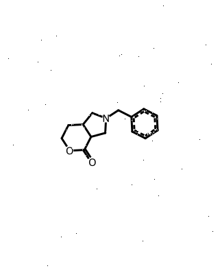 O=C1OCCC2CN(Cc3ccccc3)CC12